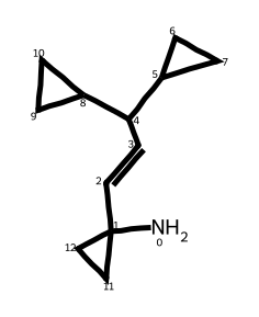 NC1(C=CC(C2CC2)C2CC2)CC1